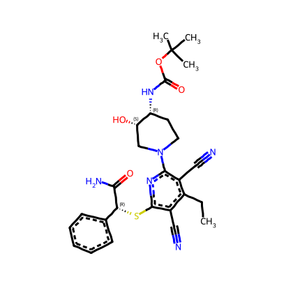 CCc1c(C#N)c(S[C@@H](C(N)=O)c2ccccc2)nc(N2CC[C@@H](NC(=O)OC(C)(C)C)[C@@H](O)C2)c1C#N